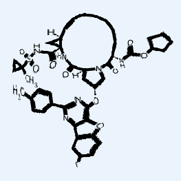 Cc1ccc(-c2nc(O[C@@H]3C[C@H]4C(=O)N[C@]5(C(=O)NS(=O)(=O)C6(C)CC6)C[C@H]5/C=C\CCCCC[C@H](NC(=O)OC5CCCC5)C(=O)N4C3)c3oc4ccc(F)cc4c3n2)cc1